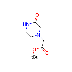 CC(C)(C)OC(=O)CN1CCNC(=O)C1